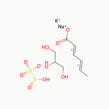 C/C=C/C=C/C(=O)[O-].O=S(O)S(=O)(=O)[O-].OCC(O)CO.[K+].[Na+]